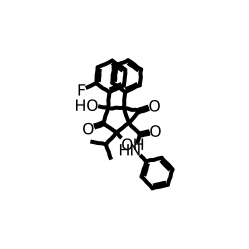 CC(C)C1(O)C(=O)C(O)(c2ccccc2F)C2(c3ccccc3)C(=O)C12C(=O)Nc1ccccc1